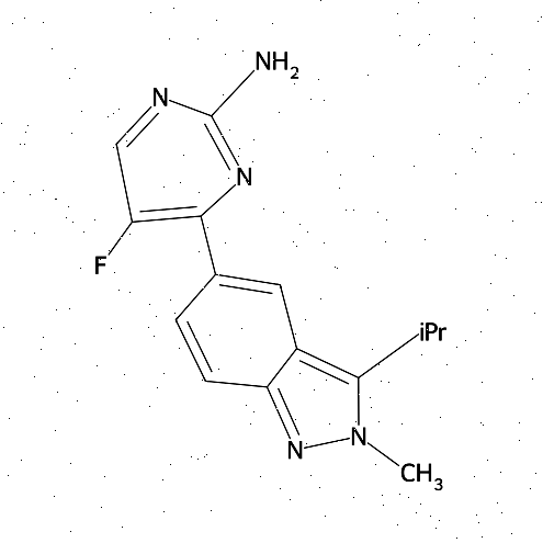 CC(C)c1c2cc(-c3nc(N)ncc3F)ccc2nn1C